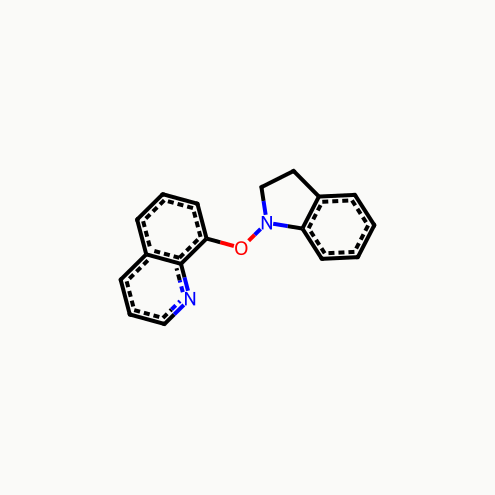 c1ccc2c(c1)CCN2Oc1cccc2cccnc12